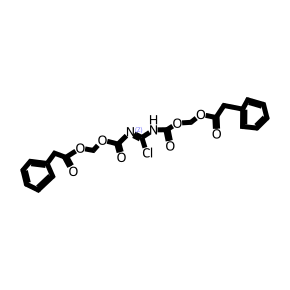 O=C(Cc1ccccc1)OCOC(=O)/N=C(\Cl)NC(=O)OCOC(=O)Cc1ccccc1